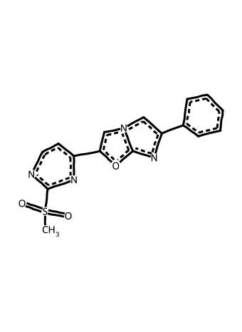 CS(=O)(=O)c1nccc(-c2cn3cc(-c4ccccc4)nc3o2)n1